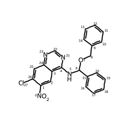 O=[N+]([O-])c1cc2c(NC(OCc3ccccc3)c3ccccc3)ncnc2cc1Cl